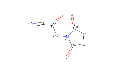 N#CC(=O)ON1C(=O)CCC1=O